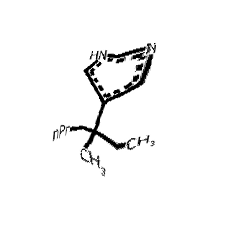 CCCC(C)(C)c1cn[nH]c1